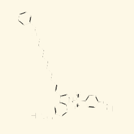 COc1ccc(S(=O)(=O)n2cc(C=CCCCCCCCCOCc3ccccc3)c3cc(OC)ccc32)cc1